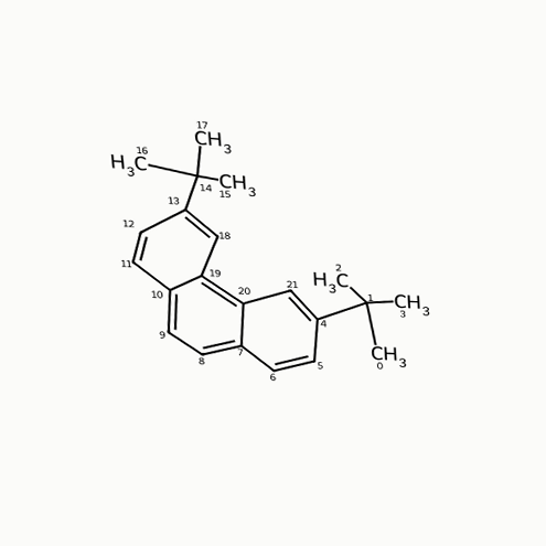 CC(C)(C)c1ccc2ccc3ccc(C(C)(C)C)cc3c2c1